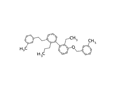 CCCc1c(CCc2cccc(C)c2)cccc1-c1cccc(OCc2cccc(C)c2)c1CC